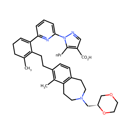 CCCc1c(C(=O)O)cnn1-c1cccc(C2=CCCC(C)=C2CCc2ccc3c(c2C)CCN(C[C@@H]2COCCO2)CC3)n1